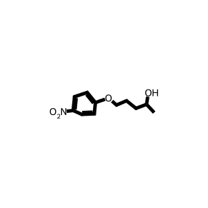 CC(O)CCCOc1ccc([N+](=O)[O-])cc1